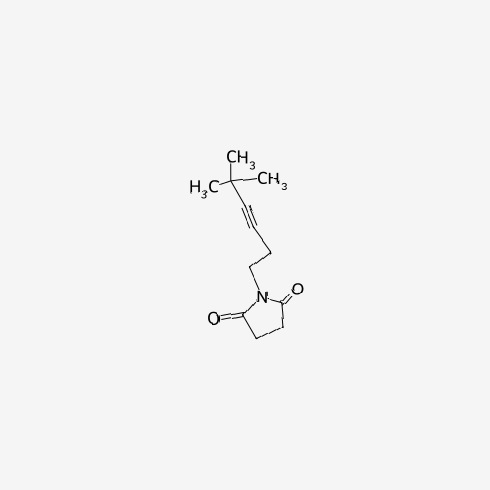 CC(C)(C)C#CCCN1C(=O)CCC1=O